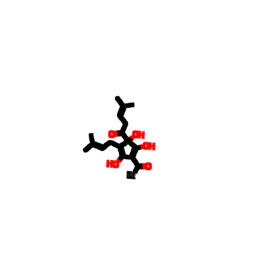 CCC(=O)C1=C(O)C(O)(C(=O)CC=C(C)C)C(CC=C(C)C)=C1O